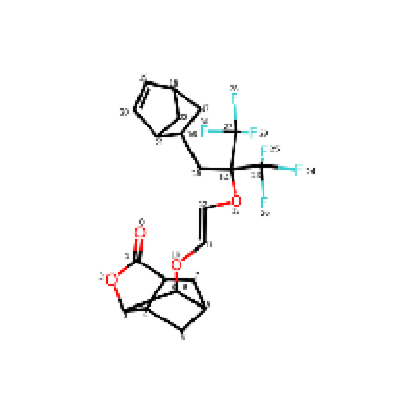 O=C1OC2C3CC(CC13)C2O/C=C/OC(CC1CC2C=CC1C2)(C(F)(F)F)C(F)(F)F